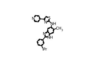 Cc1cc2[nH]c(-c3cccc(C(C)C)c3)nc2cc1Nc1nc(-c2ccncc2)cs1